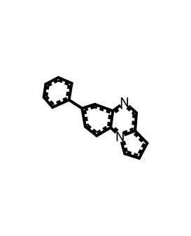 c1ccc(-c2ccc3c(c2)ncc2cccn23)cc1